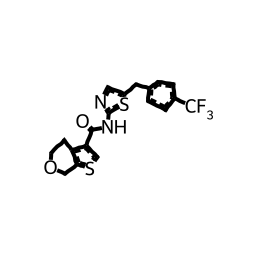 O=C(Nc1ncc(Cc2ccc(C(F)(F)F)cc2)s1)c1csc2c1CCOC2